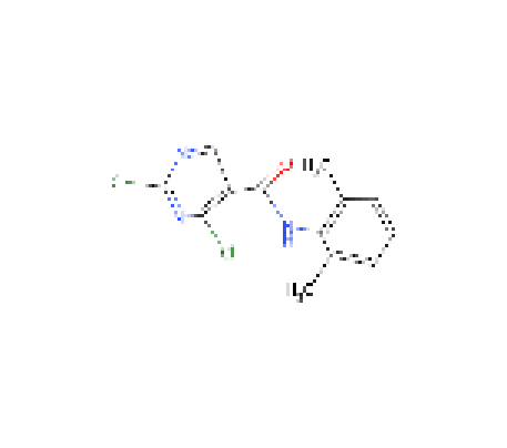 Cc1cccc(C)c1NC(=O)c1cnc(Cl)nc1Cl